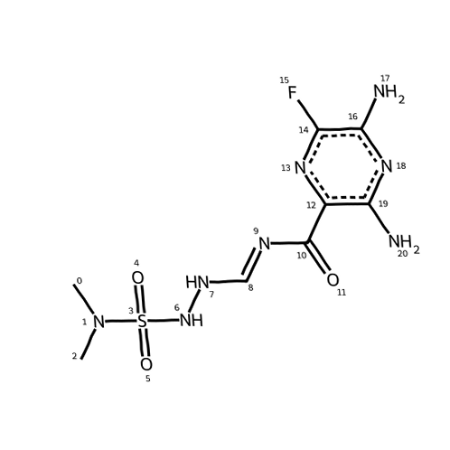 CN(C)S(=O)(=O)NNC=NC(=O)c1nc(F)c(N)nc1N